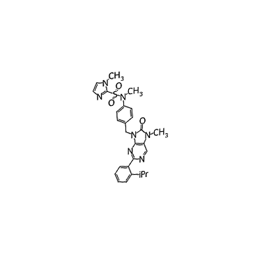 CC(C)c1ccccc1-c1ncc2c(n1)n(Cc1ccc(N(C)S(=O)(=O)c3nccn3C)cc1)c(=O)n2C